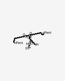 CCCCC/C=C\C/C=C\CCCCCCCC(=O)OCC(COC(=O)CCCCCCC/C=C\C/C=C\CCCCC)OC(=O)CCC(CCCCC(C)C)OC(=O)NCCN(C)CC